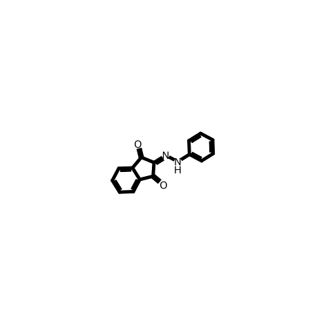 O=c1c(=NNc2ccccc2)c(=O)c2ccccc12